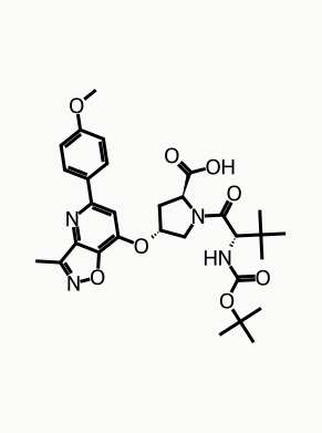 COc1ccc(-c2cc(O[C@@H]3C[C@@H](C(=O)O)N(C(=O)[C@@H](NC(=O)OC(C)(C)C)C(C)(C)C)C3)c3onc(C)c3n2)cc1